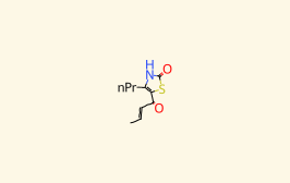 CC=CC(=O)c1sc(=O)[nH]c1CCC